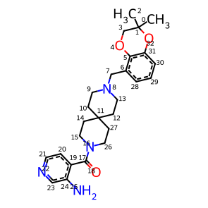 CC1(C)COc2c(CN3CCC4(CC3)CCN(C(=O)c3ccncc3N)CC4)cccc2O1